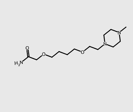 CN1CCN(CCOCCCCOCC(N)=O)CC1